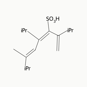 C=C(/C(=C(\C=C(/C)C(C)C)C(C)C)S(=O)(=O)O)C(C)C